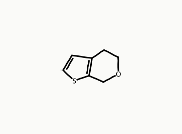 [c]1cc2c(s1)COCC2